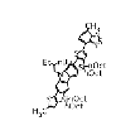 CCCCCCCC[Si]1(CCCCCCCC)c2cc3c4cc5c(cc4n(CC(CC)CCCC)c3cc2-c2sc(C)cc21)-c1sc(-c2ccc(C)c3nsnc23)cc1[Si]5(CCCCCCCC)CCCCCCCC